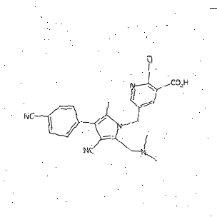 Cc1c(-c2ccc(C#N)cc2)c(C#N)c(CN(C)C)n1Cc1cnc(Cl)c(C(=O)O)c1